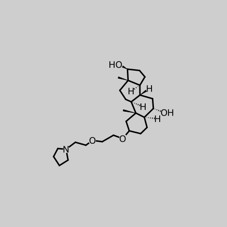 C[C@]12CC(OCCOCCN3CCCC3)CC[C@@H]1[C@@H](O)C[C@@H]1[C@@H]2CC[C@]2(C)[C@@H](O)CC[C@@H]12